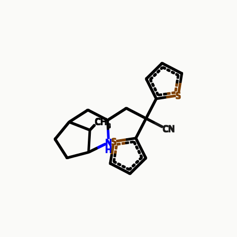 CC1C2CCC1NC(CC(C#N)(c1cccs1)c1cccs1)C2